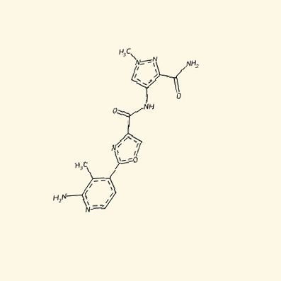 Cc1c(-c2nc(C(=O)Nc3cn(C)nc3C(N)=O)co2)ccnc1N